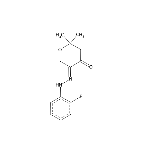 CC1(C)CC(=O)C(=NNc2ccccc2F)CO1